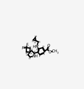 COC(=O)c1ccc(C2CC3(CCN2)CC(F)(F)C3)c(NCC2CC2)c1